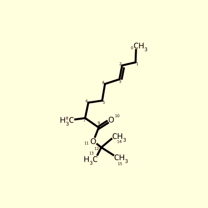 CCC=CCCCC(C)C(=O)OC(C)(C)C